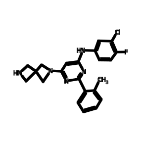 Cc1ccccc1-c1nc(Nc2ccc(F)c(Cl)c2)cc(N2CC3(CNC3)C2)n1